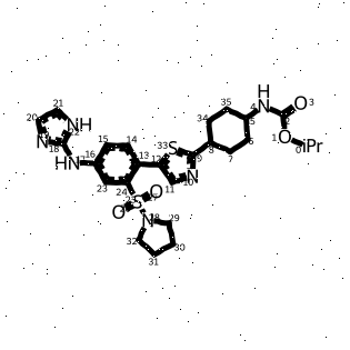 CC(C)OC(=O)NC1CCC(c2ncc(-c3ccc(Nc4ncc[nH]4)cc3S(=O)(=O)N3CCCC3)s2)CC1